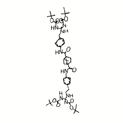 CC(C)(C)OC(=O)/N=C(/NCc1ccc(NC(=O)C23CCC(C(=O)Nc4ccc(CCN/C(=N\C(=O)OC(C)(C)C)NC(=O)OC(C)(C)C)cc4)(CC2)CC3)cc1)NC(=O)OC(C)(C)C